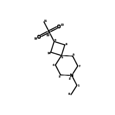 CCN1CCC2(CC1)CC(S(C)(=O)=O)C2